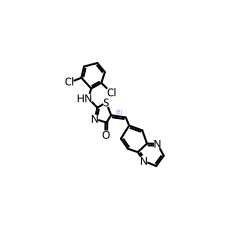 O=C1N=C(Nc2c(Cl)cccc2Cl)S/C1=C/c1ccc2nccnc2c1